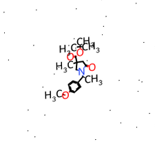 COc1ccc([C@H](C)N2CC(C)(C(=O)OC(C)(C)C)CC2=O)cc1